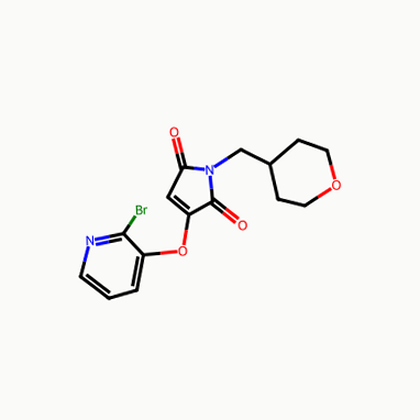 O=C1C=C(Oc2cccnc2Br)C(=O)N1CC1CCOCC1